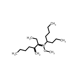 C=C(CCCC)/C(CC)=[N+](\OC)C(CCC)CCCC